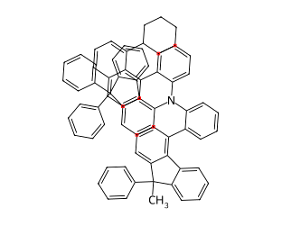 CC1(c2ccccc2)c2ccccc2-c2c(-c3ccccc3N(c3ccccc3-c3cccc4cccc(C5CCCCC5)c34)c3cccc4c3-c3ccccc3C4(c3ccccc3)c3ccccc3)cccc21